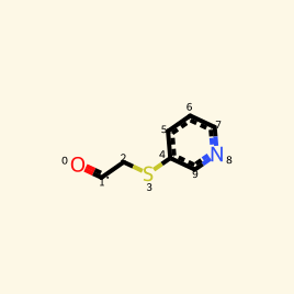 O=[C]CSc1cccnc1